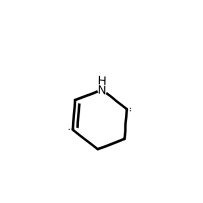 [C]1CC[C]=CN1